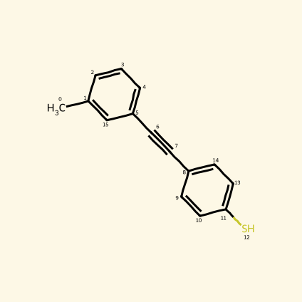 Cc1cccc(C#Cc2ccc(S)cc2)c1